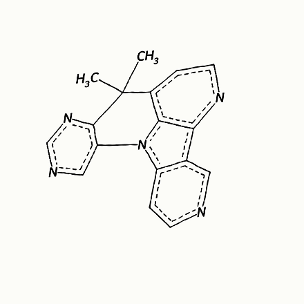 CC1(C)c2ncncc2-n2c3ccncc3c3nccc1c32